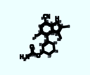 Cc1[nH]c2c(C#N)cc(F)c(C3=CC(OC(N)=O)CCC3)c2c1C